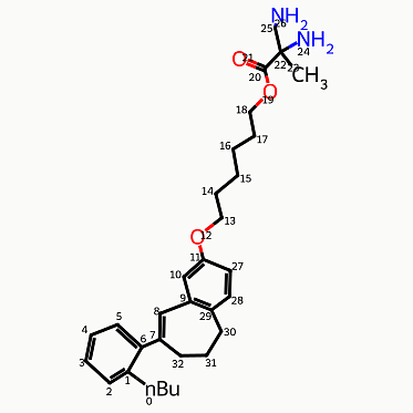 CCCCc1ccccc1C1=Cc2cc(OCCCCCCOC(=O)C(C)(N)CN)ccc2CCC1